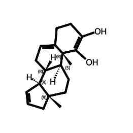 C[C@@]12CC=C[C@H]1[C@@H]1CC=C3CCC(O)=C(O)[C@]3(C)[C@H]1CC2